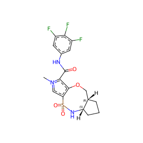 Cn1cc2c(c1C(=O)Nc1cc(F)c(F)c(F)c1)OC[C@@H]1CCC[C@@H]1NS2(=O)=O